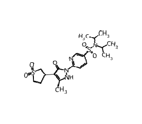 Cc1[nH]n(-c2ccc(S(=O)(=O)N(C(C)C)C(C)C)cn2)c(=O)c1C1CCS(=O)(=O)C1